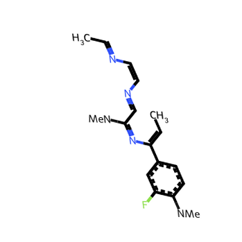 C\C=C(/N=C(\C=N\C=C/N=C/C)NC)c1ccc(NC)c(F)c1